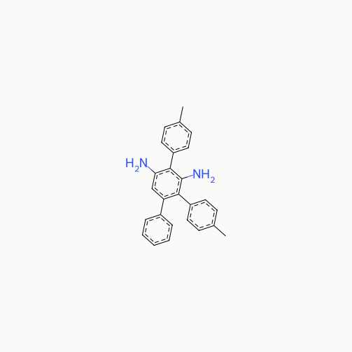 Cc1ccc(-c2c(N)cc(-c3ccccc3)c(-c3ccc(C)cc3)c2N)cc1